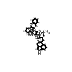 CN(C)C[C@@H](CC1CCc2c[nH]c3cccc1c23)C(=O)N[C@@]1(C)OC2(O)[C@@H]3CCCN3C(=O)[C@H](Cc3ccccc3)N2C1=O